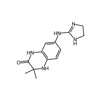 CC1(C)Nc2ccc(NC3=NCCN3)cc2NC1=O